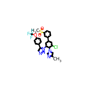 Cc1cn(-c2c(Cl)cc(-c3cccc(S(C)(=O)=O)c3)cc2-n2nncc2-c2ccc(OC(F)(F)F)cc2)cn1